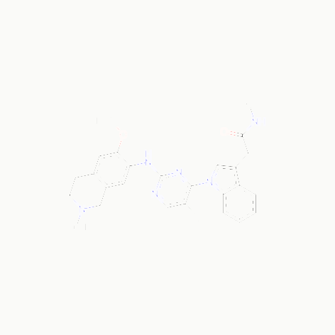 CNC(=O)Cc1cn(-c2nc(Nc3cc4c(cc3OC)CCN(C)C4)ncc2Cl)c2ccccc12